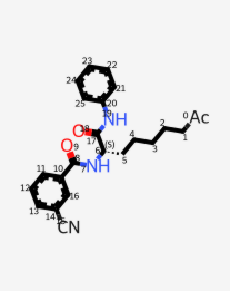 CC(=O)CCCCC[C@H](NC(=O)c1cccc(C#N)c1)C(=O)Nc1ccccc1